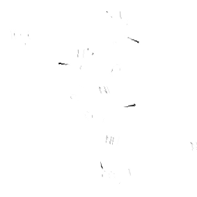 C[C@H](N)C(=O)N[C@H](CCC(=O)O)C(=O)N[C@@H](CCCCN)C(=O)N[C@H](C)C(=O)O